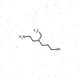 CC(C)CCCN(CCN)CC(F)(F)F